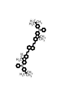 CC(C)(C)c1ccc(N(c2ccccc2)c2ccc3c(c2)C(C)(C)c2cc(/C=C/c4cccc5c(/C=C/c6ccc7c(c6)C(C)(C)c6cc(N(c8ccccc8)c8ccc(C(C)(C)C)cc8)ccc6-7)cccc45)ccc2-3)cc1